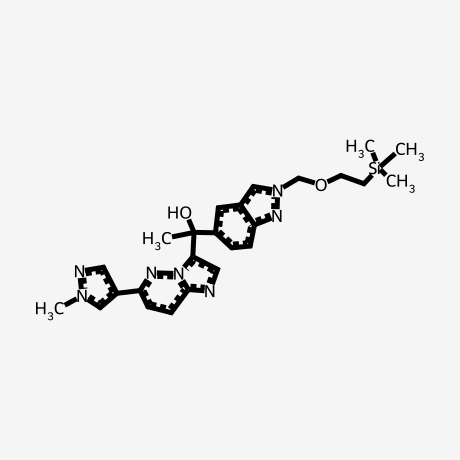 Cn1cc(-c2ccc3ncc(C(C)(O)c4ccc5nn(COCC[Si](C)(C)C)cc5c4)n3n2)cn1